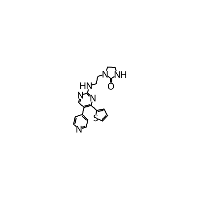 O=C1NCCN1CCNc1ncc(-c2ccncc2)c(-c2cccs2)n1